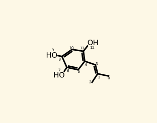 CC(C)=Cc1cc(O)c(O)cc1O